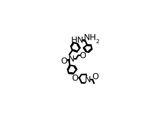 CC(=O)N1CCC(Oc2ccc(C(=O)N(CCOc3cccc(C(=N)N)c3)Cc3ccccc3)cc2)CC1